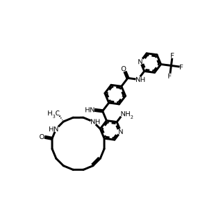 C[C@@H]1CCNc2c(cnc(N)c2C(=N)c2ccc(C(=O)Nc3cc(C(F)(F)F)ccn3)cc2)C/C=C\CCCCCC(=O)N1